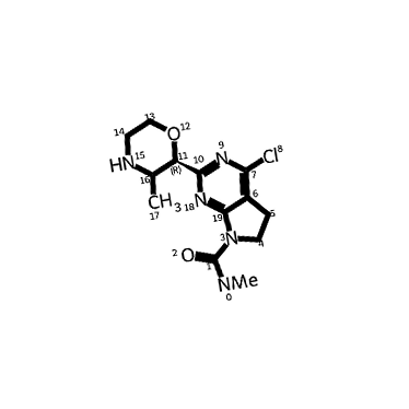 CNC(=O)N1CCc2c(Cl)nc([C@@H]3OCCNC3C)nc21